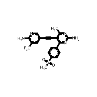 Cc1nc(N)nc(-c2ccc(S(C)(=O)=O)cc2)c1C#Cc1cnc(N)c(C(F)(F)F)c1